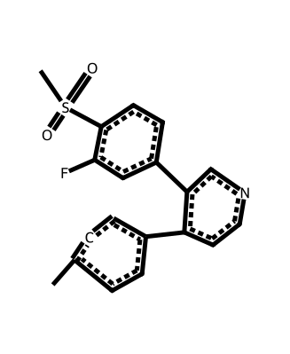 Cc1ccc(-c2ccncc2-c2ccc(S(C)(=O)=O)c(F)c2)cc1